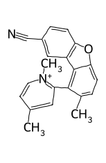 Cc1cc[n+](C)c(-c2c(C)ccc3oc4ccc(C#N)cc4c23)c1